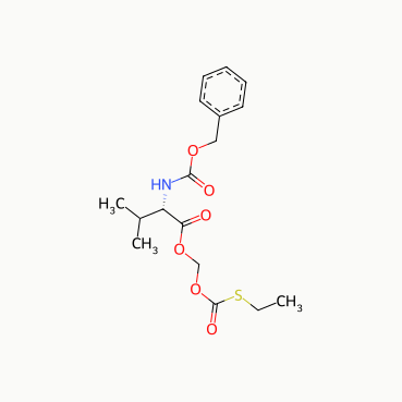 CCSC(=O)OCOC(=O)[C@@H](NC(=O)OCc1ccccc1)C(C)C